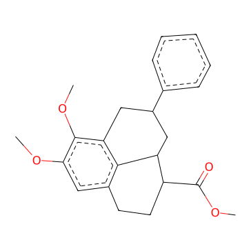 COC(=O)C1CCc2cc(OC)c(OC)c3c2C1CC(c1ccccc1)C3